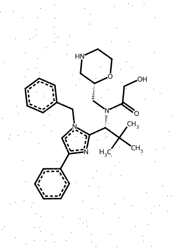 CC(C)(C)[C@H](c1nc(-c2ccccc2)cn1Cc1ccccc1)N(C[C@@H]1CNCCO1)C(=O)CO